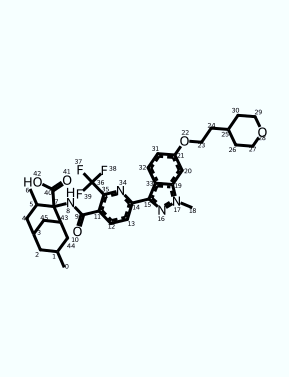 CC1CC2CC(C)C(NC(=O)c3ccc(-c4nn(C)c5cc(OCCC6CCOCC6)ccc45)nc3C(F)(F)F)(C(=O)O)C(C1)C2